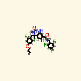 C=CCOc1cc(F)c(CC2(C)c3ccc(C(=O)NCc4c(F)cc(F)cc4F)cc3NC(=O)N2C)c(F)c1